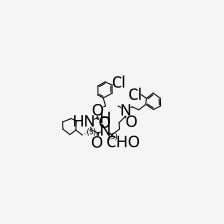 CN(CCc1ccccc1Cl)C(=O)CC[C@@H](C=O)NC(=O)[C@H](CC1CCCCC1)NC(=O)OCc1cccc(Cl)c1